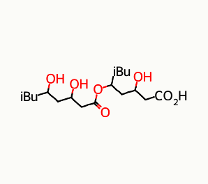 CCC(C)C(O)CC(O)CC(=O)OC(CC(O)CC(=O)O)C(C)CC